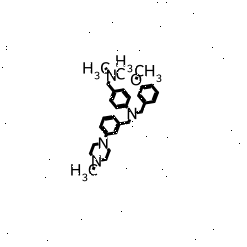 COc1cccc(CN(Cc2cccc(N3CCN(C)CC3)c2)c2ccc(CN(C)C)cc2)c1